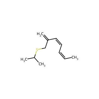 C=C(/C=C\C=C/C)CSC(C)C